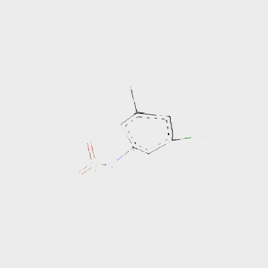 Cc1cc(F)cc(N[SH](=O)=O)c1